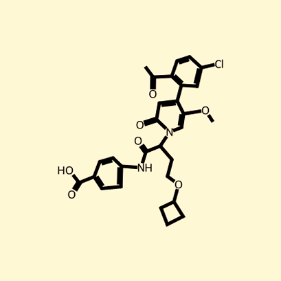 COc1cn(C(CCOC2CCC2)C(=O)Nc2ccc(C(=O)O)cc2)c(=O)cc1-c1cc(Cl)ccc1C(C)=O